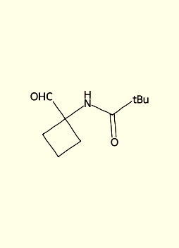 CC(C)(C)C(=O)NC1(C=O)CCC1